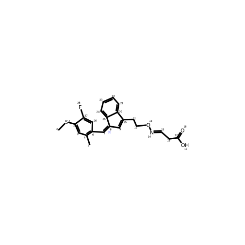 CSc1cc(C)c(/C=C2/C=C(CCON=CCC(=O)O)c3ccccc32)cc1F